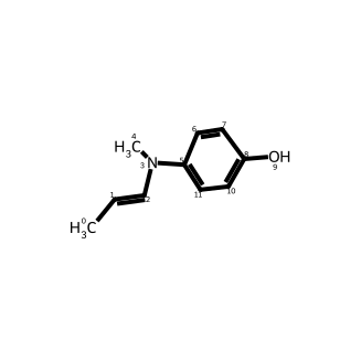 CC=CN(C)c1ccc(O)cc1